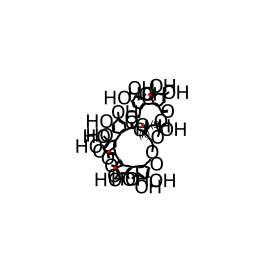 O=C1OC2[C@H](OC(=O)c3cc(O)c(O)c(O)c3-c3c1cc(O)c(O)c3O)C(O)OC1COC(=O)c3cc(O)c(O)c(O)c3-c3c(O)c(O)c4oc(=O)c5c(c(O)c(O)c6oc(=O)c3c4c65)-c3c(cc(O)c(O)c3O)C(=O)O[C@H]12